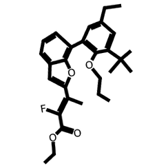 CCCOc1c(-c2cccc3cc(C(C)=C(F)C(=O)OCC)oc23)cc(CC)cc1C(C)(C)C